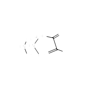 CCCNCCC.CCCNCCC.O=C(O)C(=O)O